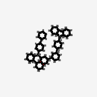 c1ccc(-c2ccc(N(c3cccc(-c4cccc(-c5ccc(-n6c7ccccc7c7ccccc76)cc5)c4)c3)c3ccccc3-c3ccccc3)cc2)cc1